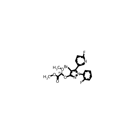 COC(=O)[C@H](OC)Oc1nn(-c2ccccc2F)c(-c2ccc(F)nc2)c1Br